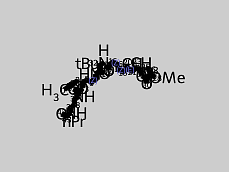 CC#CC[C@@H](C/C=C\NC(=O)[C@@H](NC(=O)\C=C/C=C\C(C)=C\[C@H](C)[C@@H]1CC=C(OC)C(=O)O1)C(C)(C)C)OC(=O)NCCCNC(=O)CCC